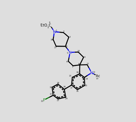 CCOC(=O)N1CCC(N2CCC3(CC2)CN(C(C)=O)c2ccc(-c4ccc(F)cc4)cc23)CC1